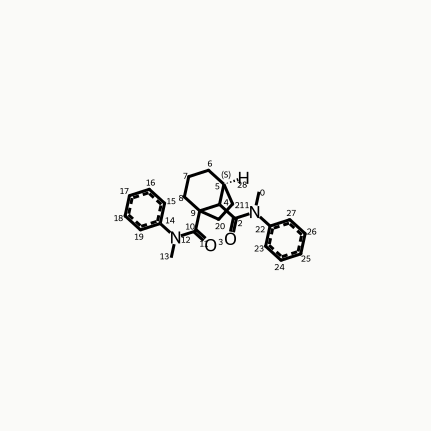 CN(C(=O)C1[C@H]2CCCC1(C(=O)N(C)c1ccccc1)CC2)c1ccccc1